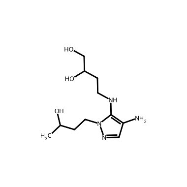 CC(O)CCn1ncc(N)c1NCCC(O)CO